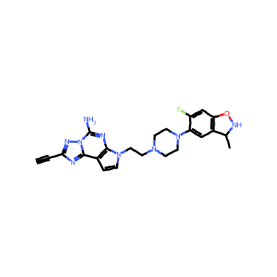 C#Cc1nc2c3ccn(CCN4CCN(c5cc6c(cc5F)ONC6C)CC4)c3nc(N)n2n1